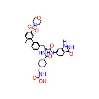 Cc1ccc(S(=O)(=O)N2CCOCC2)cc1-c1cccc(C[C@H](NC(=O)[C@H]2CC[C@H](CNC(=O)O)CC2)C(=O)Nc2ccc3c(=O)[nH][nH]c3c2)c1